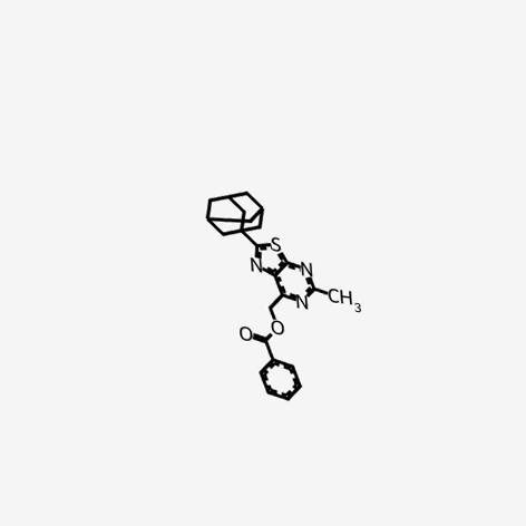 Cc1nc(COC(=O)c2ccccc2)c2nc(C34CC5CC(CC(C5)C3)C4)sc2n1